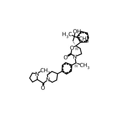 C[C@@H](c1ccc(C2CCN(C(=O)C3CCCN3C)CC2)cc1)N1CC[C@](CC(C)(C)O)(c2ccccc2)OC1=O